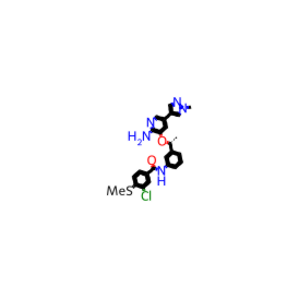 CSc1ccc(C(=O)Nc2cccc([C@@H](C)Oc3cc(-c4cnn(C)c4)cnc3N)c2)cc1Cl